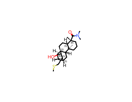 CSC[C@H]1[C@H]2CC[C@@]3(CC[C@H]4[C@@](C)(CCC[C@@]4(C)C(=O)N(C)C)[C@@H]3C2)[C@@H]1O